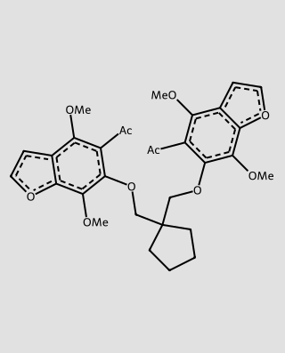 COc1c(C(C)=O)c(OCC2(COc3c(C(C)=O)c(OC)c4ccoc4c3OC)CCCC2)c(OC)c2occc12